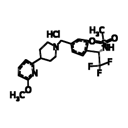 COc1cccc(C2CCN(Cc3ccc([C@H](NS(C)(=O)=O)C(F)(F)F)cc3)CC2)n1.Cl